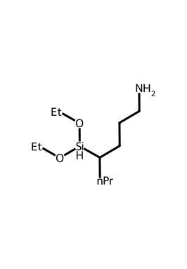 CCCC(CCCN)[SiH](OCC)OCC